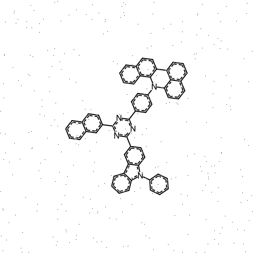 c1ccc(-n2c3ccccc3c3cc(-c4nc(-c5ccc(N6c7c(ccc8ccccc78)-c7cccc8cccc6c78)cc5)nc(-c5ccc6ccccc6c5)n4)ccc32)cc1